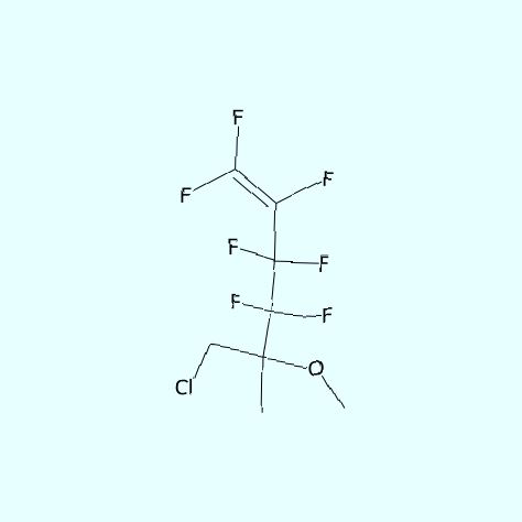 COC(C)(CCl)C(F)(F)C(F)(F)C(F)=C(F)F